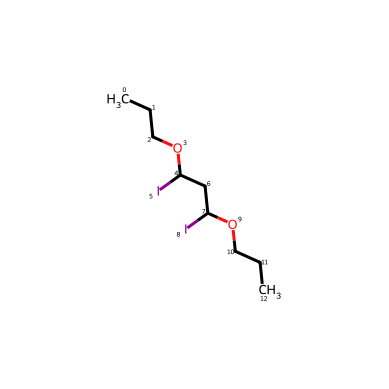 CCCOC(I)CC(I)OCCC